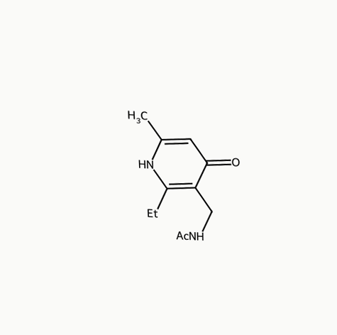 CCc1[nH]c(C)cc(=O)c1CNC(C)=O